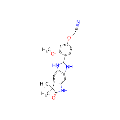 COc1cc(OCC#N)ccc1C1Nc2cc3c(cc2N1)C(C)(C)C(=O)N3